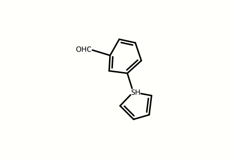 O=Cc1cccc([SH]2C=CC=C2)c1